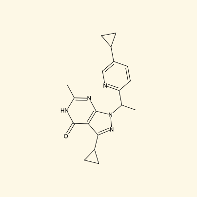 Cc1nc2c(c(C3CC3)nn2C(C)c2ccc(C3CC3)cn2)c(=O)[nH]1